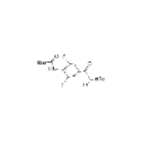 CCCCC(CC)C(=O)c1cc(F)c(NC(=O)C(C)(C)C)c(F)c1